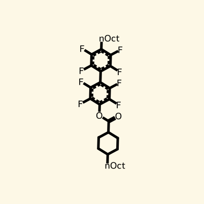 CCCCCCCCc1c(F)c(F)c(-c2c(F)c(F)c(OC(=O)C3CCC(CCCCCCCC)CC3)c(F)c2F)c(F)c1F